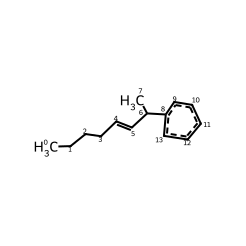 CCCCC=CC(C)c1ccccc1